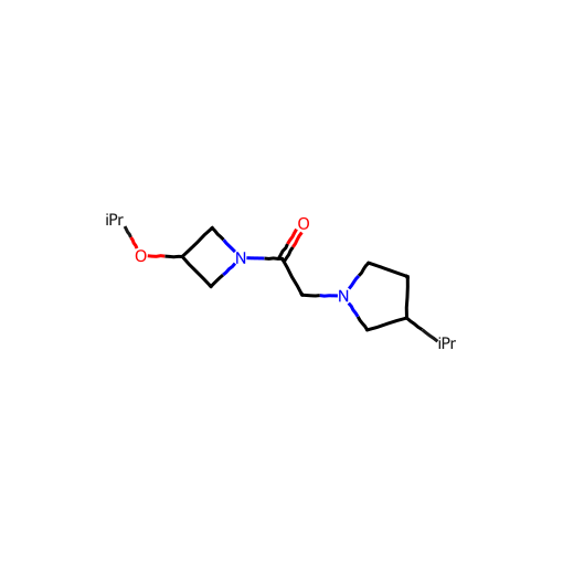 CC(C)OC1CN(C(=O)CN2CCC(C(C)C)C2)C1